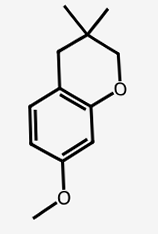 COc1ccc2c(c1)OCC(C)(C)C2